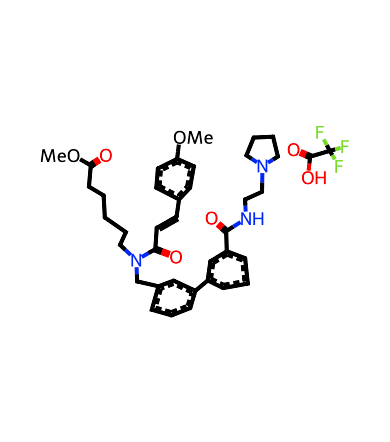 COC(=O)CCCCCN(Cc1cccc(-c2cccc(C(=O)NCCN3CCCC3)c2)c1)C(=O)C=Cc1ccc(OC)cc1.O=C(O)C(F)(F)F